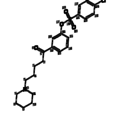 O=C(CCCCN1CCCCC1)c1cccc(OS(=O)(=O)c2ccc(Cl)cc2)c1